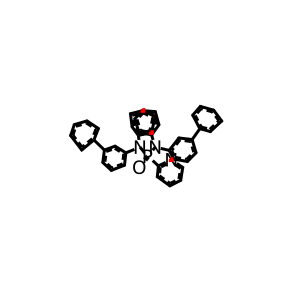 O=P(c1ccccn1)(N(c1ccccc1)c1cccc(-c2ccccc2)c1)N(c1ccccc1)c1cccc(-c2ccccc2)c1